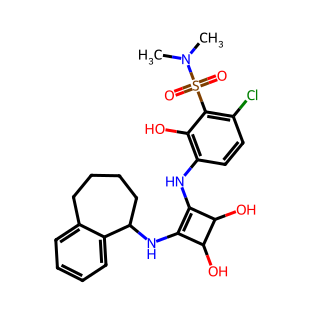 CN(C)S(=O)(=O)c1c(Cl)ccc(NC2=C(NC3CCCCc4ccccc43)C(O)C2O)c1O